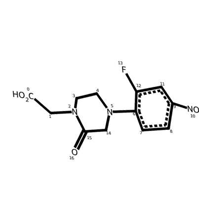 O=C(O)CN1CCN(c2ccc([N+](=O)[O-])cc2F)CC1=O